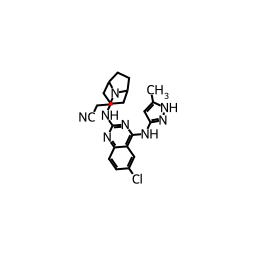 Cc1cc(Nc2nc(NC3CC4CCC(C3)N4CCC#N)nc3ccc(Cl)cc23)n[nH]1